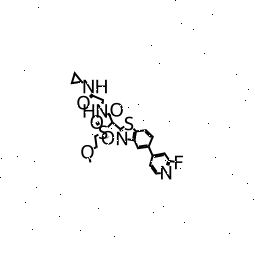 COCCS(=O)(=O)C(C(=O)NCC(=O)NC1CC1)c1nc2cc(-c3ccnc(F)c3)ccc2s1